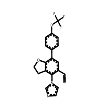 C=Cc1cc(-c2ccc(OC(F)(F)F)cc2)c2c(c1-n1ccnc1)CCO2